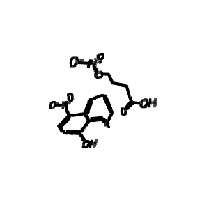 O=C(O)CCCO[N+](=O)[O-].O=[N+]([O-])c1ccc(O)c2ncccc12